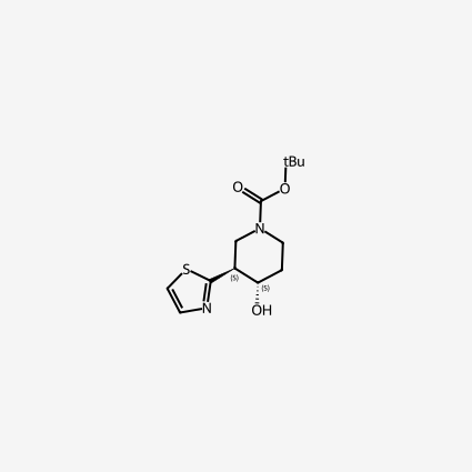 CC(C)(C)OC(=O)N1CC[C@H](O)[C@@H](c2nccs2)C1